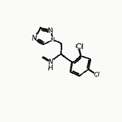 CNC(Cn1cncn1)c1ccc(Cl)cc1Cl